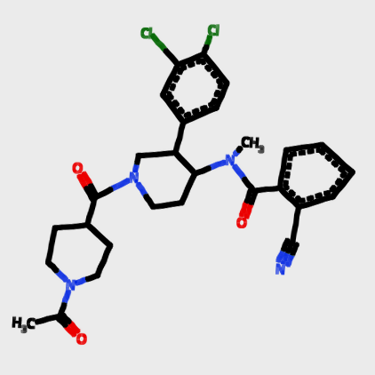 CC(=O)N1CCC(C(=O)N2CCC(N(C)C(=O)c3ccccc3C#N)C(c3ccc(Cl)c(Cl)c3)C2)CC1